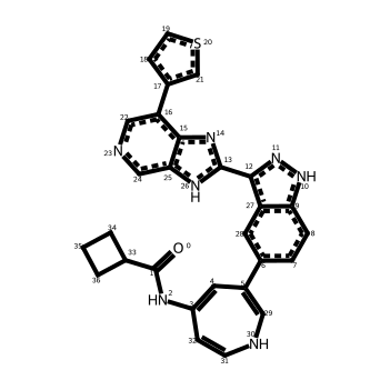 O=C(NC1=CC(c2ccc3[nH]nc(-c4nc5c(-c6ccsc6)cncc5[nH]4)c3c2)=CNC=C1)C1CCC1